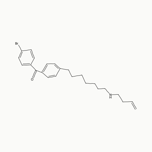 C=CCCNCCCCCCCc1ccc(C(=O)c2ccc(Br)cc2)cc1